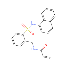 C=CC(=O)NCc1ccccc1S(=O)(=O)Nc1cccc2ccccc12